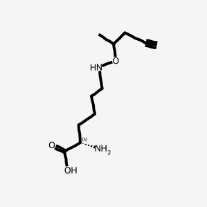 C#CCC(C)ONCCCC[C@H](N)C(=O)O